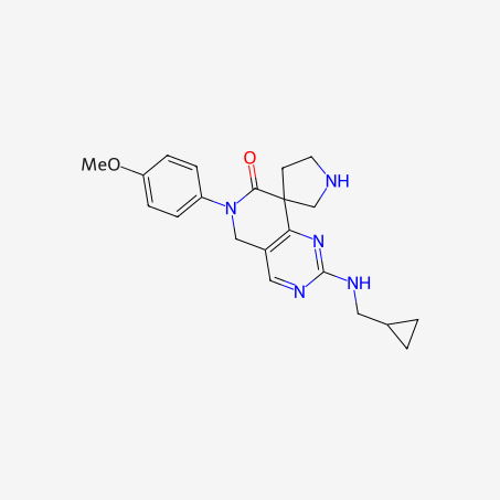 COc1ccc(N2Cc3cnc(NCC4CC4)nc3C3(CCNC3)C2=O)cc1